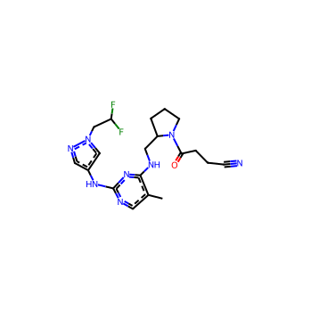 Cc1cnc(Nc2cnn(CC(F)F)c2)nc1NCC1CCCN1C(=O)CCC#N